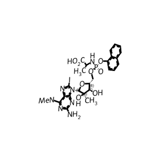 CNc1nc(N)nc2c1nc(I)n2[C@@H]1O[C@H](COP(=O)(NC(C)C(=O)O)Oc2cccc3ccccc23)[C@@H](O)[C@@]1(C)O